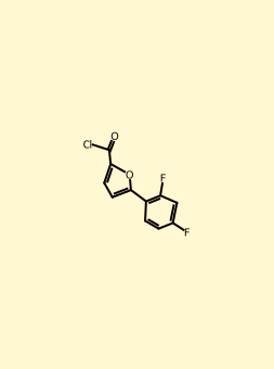 O=C(Cl)c1ccc(-c2ccc(F)cc2F)o1